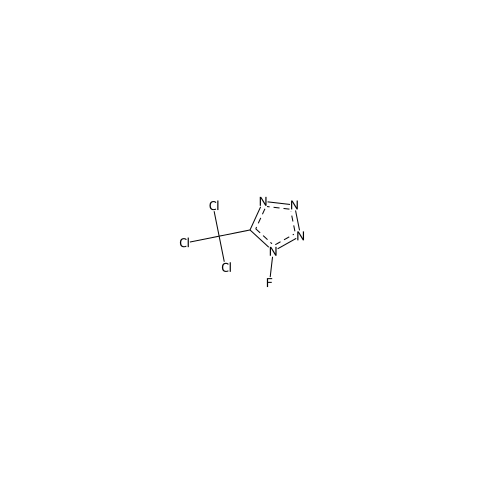 Fn1nnnc1C(Cl)(Cl)Cl